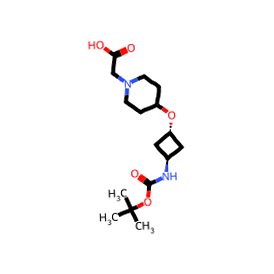 CC(C)(C)OC(=O)N[C@H]1C[C@H](OC2CCN(CC(=O)O)CC2)C1